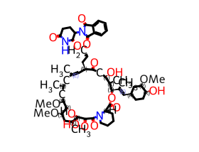 C=CC[C@@H]1/C=C(\C)C[C@H](C)C[C@H](OC)[C@H]2O[C@@](O)(C(=O)C(=O)N3CCCC[C@H]3C(=O)O[C@H](/C(C)=C/[C@@H]3CC[C@@H](O)[C@H](OC)C3)[C@H](C)[C@@H](O)CC1=O)[C@H](C)C[C@@H]2OC.O=C1CCC(N2C(=O)c3ccccc3C2=O)C(=O)N1